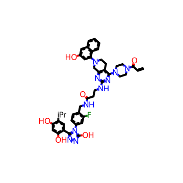 C=CC(=O)N1CCN(c2nc(NCCC(=O)NCc3ccc(-n4c(O)nnc4-c4cc(C(C)C)c(O)cc4O)cc3F)nc3c2CCN(c2cc(O)cc4ccccc24)C3)CC1